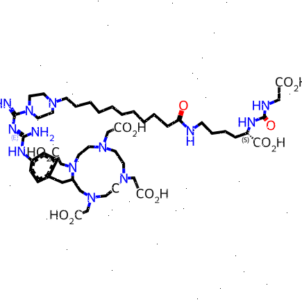 N=C(/N=C(\N)Nc1ccc(CC2CN(CC(=O)O)CCN(CC(=O)O)CCN(CC(=O)O)CCN2CC(=O)O)cc1)N1CCN(CCCCCCCCCCC(=O)NCCCC[C@H](NC(=O)NCC(=O)O)C(=O)O)CC1